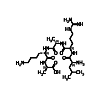 CC(C)C[C@H](N)C(=O)N[C@H](CCCNC(=N)N)C(=O)N[C@@H](C)C(=O)N[C@@H](CCCCN)C(=O)N[C@H](C)C(=O)O